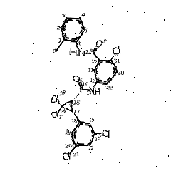 Cc1ccccc1NC(=O)c1cc(NC(=O)[C@@H]2[C@@H](c3cc(Cl)cc(Cl)c3)C2(Cl)Cl)ccc1Cl